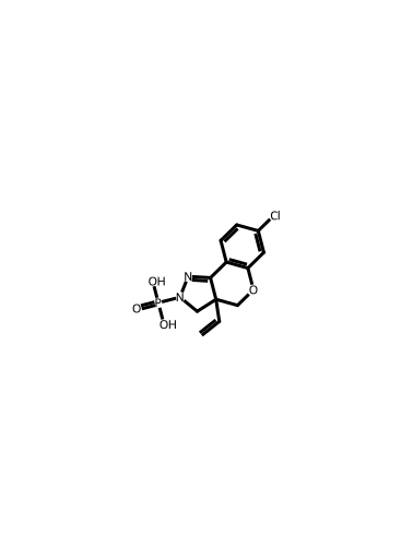 C=CC12COc3cc(Cl)ccc3C1=NN(P(=O)(O)O)C2